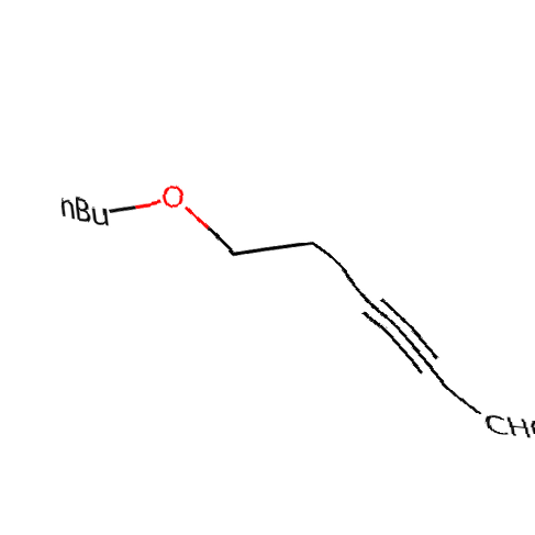 CCCCOCCC#CC=O